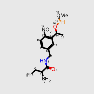 BC(CC(C)C)C(=O)NCc1ccc([N+](=O)[O-])c(C(C)OPOC)c1